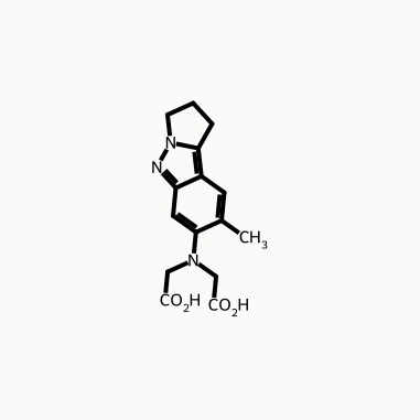 Cc1cc2c3n(nc2cc1N(CC(=O)O)CC(=O)O)CCC3